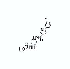 O=C(CO)NC1CCC(NC(=O)c2ccc(-c3cccc(F)c3)nc2)CC1